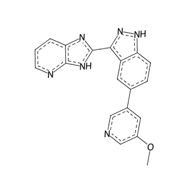 COc1cncc(-c2ccc3[nH]nc(-c4nc5cccnc5[nH]4)c3c2)c1